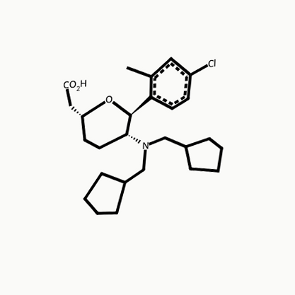 Cc1cc(Cl)ccc1[C@@H]1O[C@@H](CC(=O)O)CC[C@H]1N(CC1CCCC1)CC1CCCC1